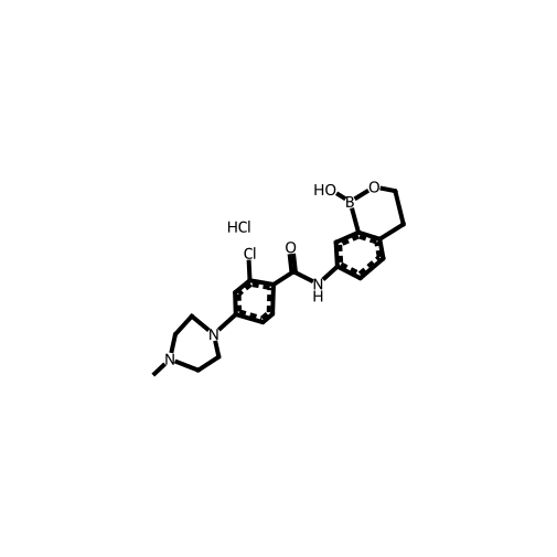 CN1CCN(c2ccc(C(=O)Nc3ccc4c(c3)B(O)OCC4)c(Cl)c2)CC1.Cl